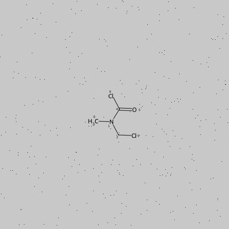 CN(CCl)C(=O)Cl